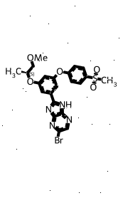 COC[C@H](C)Oc1cc(Oc2ccc(S(C)(=O)=O)cc2)cc(-c2nc3nc(Br)cnc3[nH]2)c1